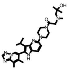 Cc1c(-c2[nH]c3ccc(N4CCN(C(=O)CN(C)CC(C)(C)O)CC4)nc3c2C(C)C)cn2ncnc2c1C